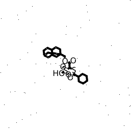 O=C(SC(C(=O)OCC12CCC3CCC(CC3C1)C2)S(=O)(=O)O)C1CCCCC1